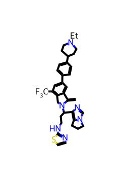 C=C1c2cc(-c3ccc(C4CCN(CC)CC4)cc3)cc(C(F)(F)F)c2CN1C(CCNc1nccs1)c1ncn2c1CCC2